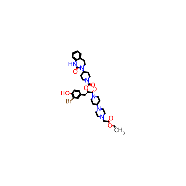 CCOC(=O)CN1CCN(C2CCN(C(=O)[C@@H](Cc3ccc(O)c(Br)c3)OC(=O)N3CCC(N4CCc5ccccc5NC4=O)CC3)CC2)CC1